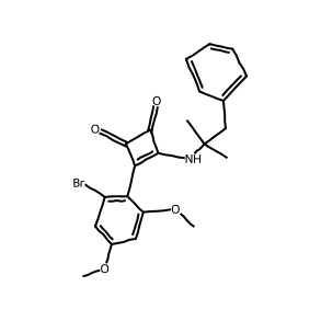 COc1cc(Br)c(-c2c(NC(C)(C)Cc3ccccc3)c(=O)c2=O)c(OC)c1